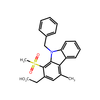 Cc1cc(CC(=O)O)c(S(C)(=O)=O)c2c1c1ccccc1n2Cc1ccccc1